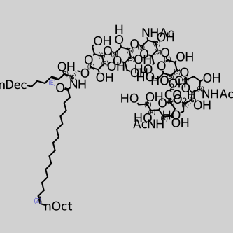 CCCCCCCC/C=C\CCCCCCCCCCCCCCCC(=O)N[C@@H](CO[C@@H]1OC(CO)[C@@H](O[C@@H]2OC(CO)[C@H](O)[C@H](O[C@@H]3OC(CO)[C@@H](O[C@@H]4OC(CO)[C@H](O)[C@H](O[C@]5(C(=O)O)CC(O)[C@@H](NC(C)=O)C([C@H](O)[C@@H](CO)O[C@]6(C(=O)O)CC(O)[C@@H](NC(C)=O)C([C@H](O)[C@H](O)CO)O6)O5)C4O)[C@H](O)C3NC(C)=O)C2O)[C@H](O)C1O)[C@H](O)/C=C/CCCCCCCCCCCCC